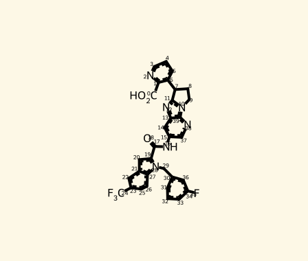 O=C(O)c1ncccc1C1CCn2c1nc1cc(NC(=O)c3cc4cc(C(F)(F)F)ccc4n3Cc3cccc(F)c3)cnc12